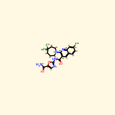 NC(=O)c1cnc(NC(=O)c2cc3ccc(F)cc3nc2N2CCCC(F)(F)CC2)o1